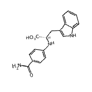 NC(=O)c1ccc(N[C@@H](Cc2c[nH]c3ccccc23)C(=O)O)cc1